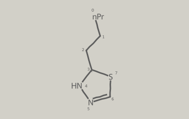 CCCCC[C]1NN=CS1